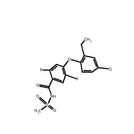 CCc1cc(Cl)ccc1Oc1cc(F)c(C(=O)NS(C)(=O)=O)cc1F